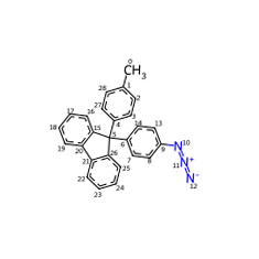 Cc1ccc(C2(c3ccc(N=[N+]=[N-])cc3)c3ccccc3-c3ccccc32)cc1